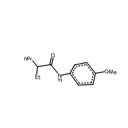 CCCC(CC)C(=O)Nc1ccc(OC)cc1